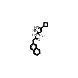 CC(C)(C)C1(NC(=O)Cc2ccc3ccccc3c2)C=C(C2CCC2)NN1